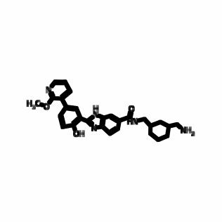 COc1ncccc1-c1ccc(O)c(-c2nc3ccc(C(=O)NCC4CCCC(CN)C4)cc3[nH]2)c1